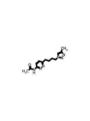 CC(=O)Nc1ccc(CCCCn2cc(C)nn2)nn1